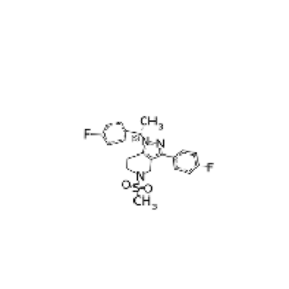 C[C@@H](c1ccc(F)cc1)n1nc(-c2ccc(F)cc2)c2c1CCN(S(C)(=O)=O)C2